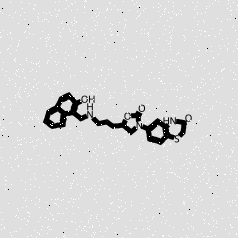 O=C1CSc2ccc(N3CC(CCCNCc4c(O)ccc5ccccc45)OC3=O)cc2N1